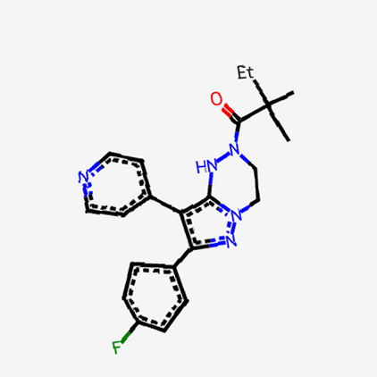 CCC(C)(C)C(=O)N1CCn2nc(-c3ccc(F)cc3)c(-c3ccncc3)c2N1